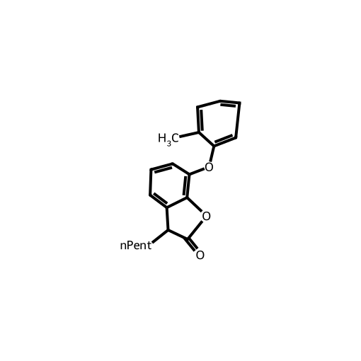 CCCCCC1C(=O)Oc2c(Oc3ccccc3C)cccc21